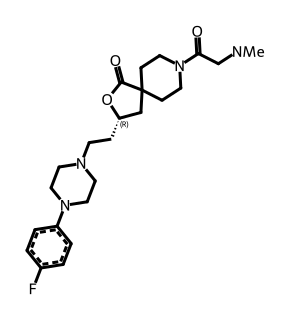 CNCC(=O)N1CCC2(CC1)C[C@H](CCN1CCN(c3ccc(F)cc3)CC1)OC2=O